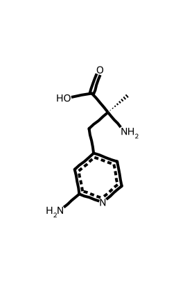 C[C@](N)(Cc1ccnc(N)c1)C(=O)O